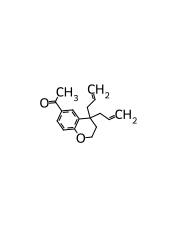 C=CCC1(CC=C)CCOc2ccc(C(C)=O)cc21